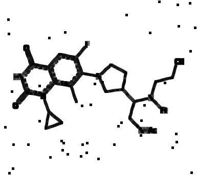 CCN(CCC#N)C(CNC(C)=O)C1CCN(c2c(F)cc3c(=O)[nH]c(=O)n(C4CC4)c3c2C)C1